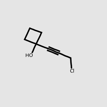 OC1(C#CCCl)CCC1